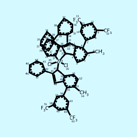 Cc1ccc2c(c1-c1cc(C(F)(F)F)cc(C(F)(F)F)c1)C=C(c1ccccc1)[CH]2[Zr]([Cl])([Cl])([c]1cccc2c1[SiH2]c1ccccc1-2)[CH]1C(c2ccccc2)=Cc2c1ccc(C)c2-c1cc(C(F)(F)F)cc(C(F)(F)F)c1